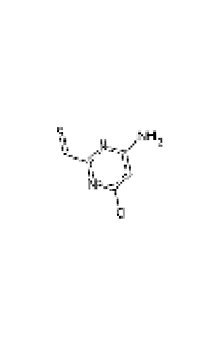 Nc1cc(Cl)nc(C=S)n1